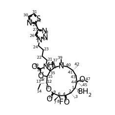 B[C@@H]1[C@H](C)C(=O)[C@](C)(F)C(=O)O[C@H](CC)[C@@]2(C)OC(=O)N(CCCCn3cc(-c4nccs4)nn3)[C@@H]2[C@@H](C)N(C)C[C@H](C)C[C@@]1(C)OC